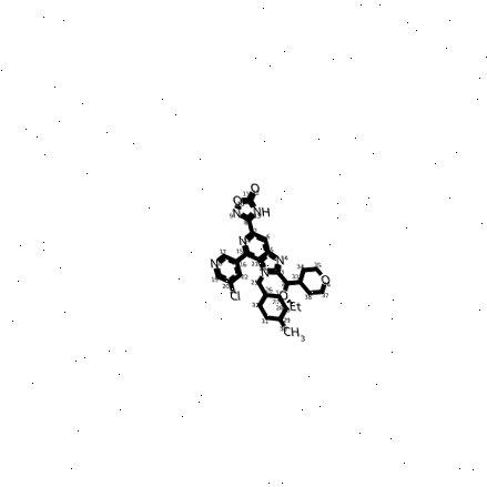 CCOC(c1nc2cc(-c3noc(=O)[nH]3)nc(-c3cncc(Cl)c3)c2n1CC1CCC(C)CC1)C1CCOCC1